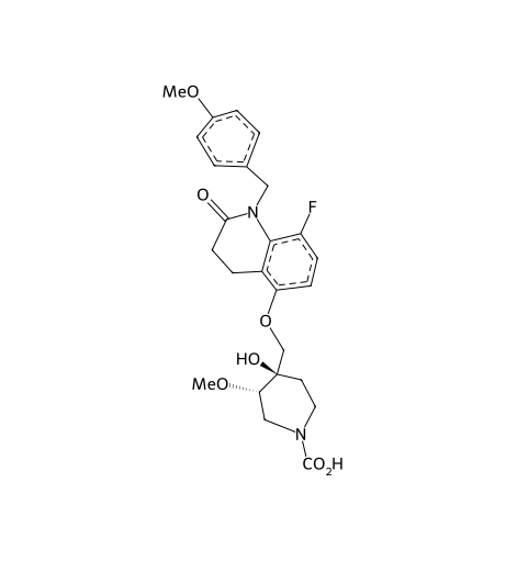 COc1ccc(CN2C(=O)CCc3c(OC[C@]4(O)CCN(C(=O)O)C[C@@H]4OC)ccc(F)c32)cc1